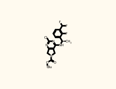 C[C@@H](Nc1nc(Cl)nc2c1CN(C(=O)OC(C)(C)C)C2)c1cccc(C(F)F)c1F